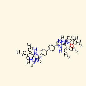 C=C(N/C(=C\N)c1ccc(-c2ccc(-c3cnc([C@@H](NC(=O)C(C)(C)C)C(C)C)[nH]3)cc2)cc1)[C@@H](C)C(C)C